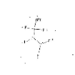 [CH2]CCC(F)(F)[C@@H](F)C(F)F